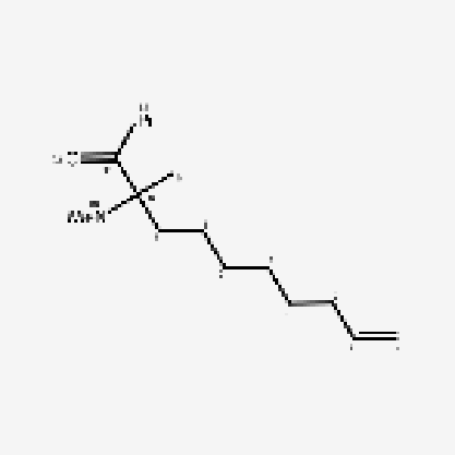 C=CCCCCCCC(C)(NC)C(=O)C(C)C